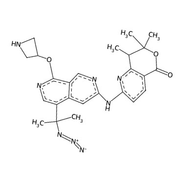 CC1c2nc(Nc3cc4c(C(C)(C)N=[N+]=[N-])cnc(OC5CNC5)c4cn3)ccc2C(=O)OC1(C)C